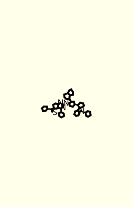 c1ccc(-c2csc3c2ccc2nc(-n4c5ccc(-c6cccc7c6c6ccccc6n7-c6ccccc6)cc5c5c6ccccc6ccc54)nc(-c4ccccc4)c23)cc1